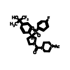 CC(=O)N1CCN(C(=O)N2CC[C@](c3ccc(C(C)(O)C(F)(F)F)cc3)(S(=O)(=O)c3ccc(F)cc3)C2)CC1